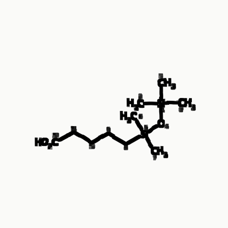 C[Si](C)(C)O[Si](C)(C)CCCCC(=O)O